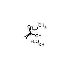 O.O.O.O=C(O)O.[KH]